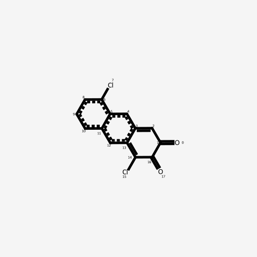 O=C1C=c2cc3c(Cl)cccc3cc2=C(Cl)C1=O